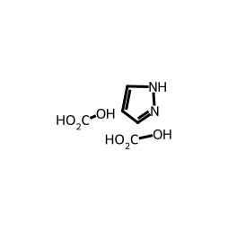 O=C(O)O.O=C(O)O.c1cn[nH]c1